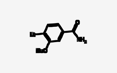 CCc1ccc(C(N)=O)cc1OCC(C)C